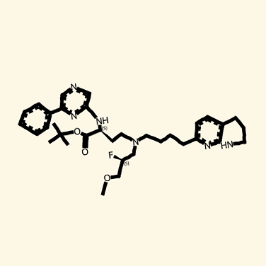 COC[C@@H](F)CN(CCCCc1ccc2c(n1)NCCC2)CC[C@H](Nc1cncc(-c2ccccc2)n1)C(=O)OC(C)(C)C